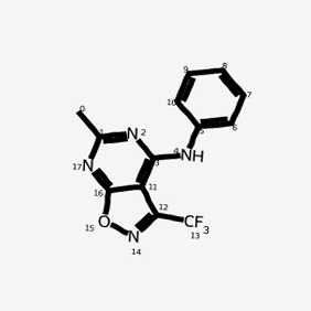 Cc1nc(Nc2ccccc2)c2c(C(F)(F)F)noc2n1